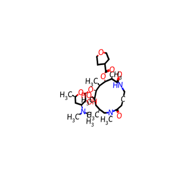 C[C@H]1CN(C)C(=O)CCCNC(=O)[C@H](C)[C@@H](OC(=O)C2CCOCC2)[C@H](C)[C@@H](O[C@@H]2O[C@H](C)C[C@H](N(C)C)[C@H]2O)[C@](C)(O)C1